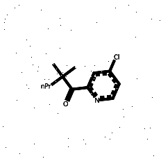 CCCC(C)(C)C(=O)c1cc(Cl)ccn1